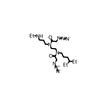 CCNCCCN(CCN(CCCC(CC)CC)C(=O)CN=[N+]=[N-])C(=O)CN=[N+]=[N-]